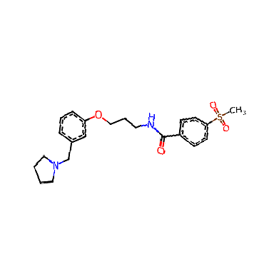 CS(=O)(=O)c1ccc(C(=O)NCCCOc2cccc(CN3CCCC3)c2)cc1